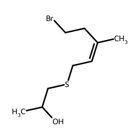 CC(=CCSCC(C)O)CCBr